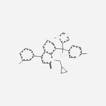 Cn1cncc1C(N)(c1ccc(Cl)nc1)c1cccc2c(-c3cccc(Cl)c3)cc(=O)n(CC3CC3)c12